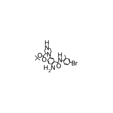 Cc1cc(Br)ccc1NC(=O)c1cc(N2CCNCC2C(=O)OC(C)(C)C)ccc1N